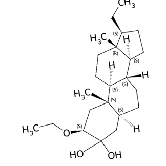 CCO[C@H]1C[C@@]2(C)[C@@H](CC[C@@H]3[C@@H]2CC[C@]2(C)[C@@H](CC)CC[C@@H]32)CC1(O)O